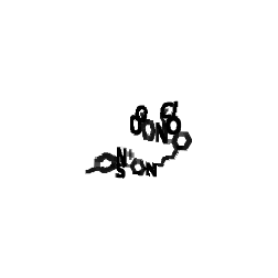 Cc1ccc2c(c1)sc(-c1ccc(N(C)CCCCc3ccccc3CN(C(=O)CCl)c3ccc4c(c3)OCO4)cc1)[n+]2C